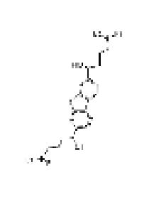 CCN(CC)CCCC(O)c1ccc2c(c1)Cc1cc(C(O)CCCN(CC)CC)ccc1-2